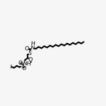 CCCCCCCCCCCCCCCCCCNC(=O)SCC(CNS(=O)(=O)CCCI)OC